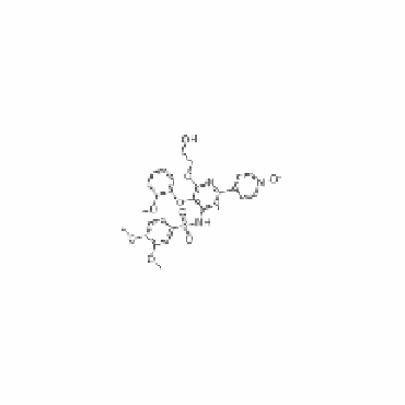 COc1ccc(S(=O)(=O)Nc2nc(-c3cc[n+]([O-])cc3)nc(OCCO)c2Oc2ccccc2OC)cc1OC